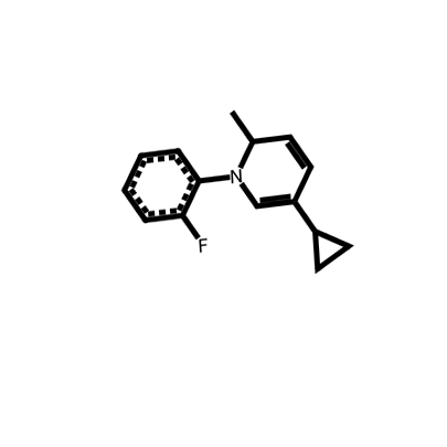 CC1C=CC(C2CC2)=CN1c1ccccc1F